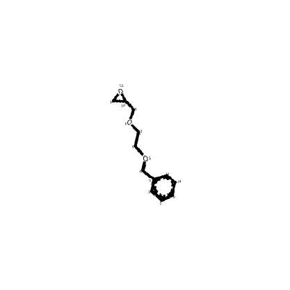 c1ccc(COCCOCC2CO2)cc1